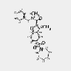 Cc1c(C(=O)N(C)Cc2ccccc2)oc2ccc(S(=O)(=O)N3CCCCCC3)cc12